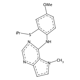 COc1ccc(Nc2ncnc3ccn(C)c23)c(SC(C)C)c1